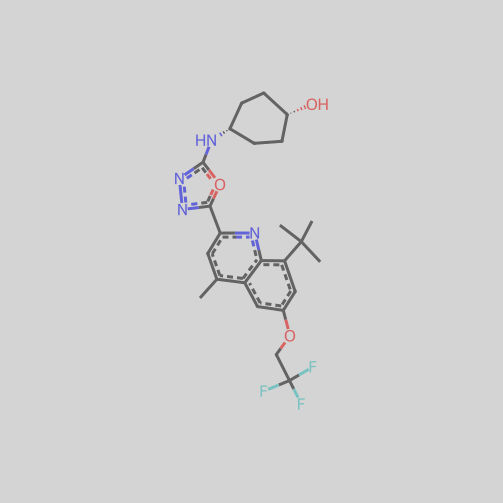 Cc1cc(-c2nnc(N[C@H]3CC[C@@H](O)CC3)o2)nc2c(C(C)(C)C)cc(OCC(F)(F)F)cc12